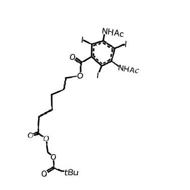 CC(=O)Nc1c(I)c(NC(C)=O)c(I)c(C(=O)OCCCCCC(=O)OCOC(=O)C(C)(C)C)c1I